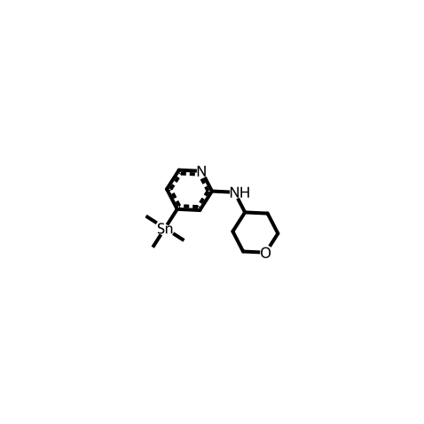 [CH3][Sn]([CH3])([CH3])[c]1ccnc(NC2CCOCC2)c1